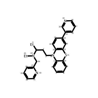 CCC(CCN1c2ccccc2Sc2cc(-c3cccnc3)ccc21)N(CC)Cc1ccccn1